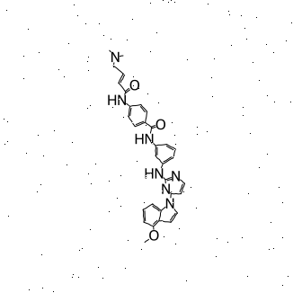 COc1cccc2c1ccn2-c1ccnc(Nc2cccc(NC(=O)c3ccc(NC(=O)/C=C/CN(C)C)cc3)c2)n1